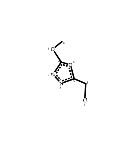 COc1nnc(CCl)o1